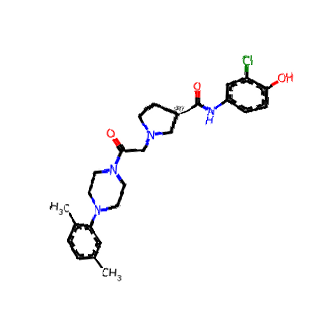 Cc1ccc(C)c(N2CCN(C(=O)CN3CC[C@@H](C(=O)Nc4ccc(O)c(Cl)c4)C3)CC2)c1